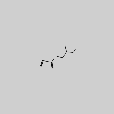 C=CC(=O)OCC(Cl)CCl